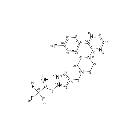 OC(Cn1cc(CN2CCN(c3nccnc3-c3ccc(F)cc3)CC2)cn1)C(F)(F)F